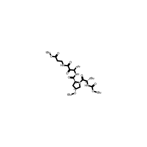 CCCC(NC(=O)[C@@H]1C[C@@H](OC(C)(C)C)CN1C(=O)[C@@H](NC(=O)OC(C)(C)C)C(C)(C)C)C(=O)C(=O)NCCC(=O)OC(C)(C)C